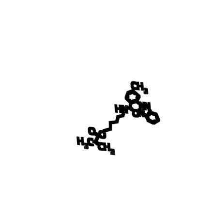 C=C(C)C(=O)OCCCCCCNC(=O)c1ccc(C)cc1-n1nc2ccccc2n1